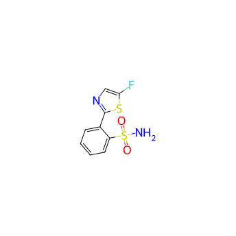 NS(=O)(=O)c1ccccc1-c1ncc(F)s1